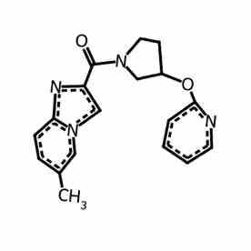 Cc1ccc2nc(C(=O)N3CCC(Oc4ccccn4)C3)cn2c1